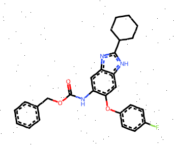 O=C(Nc1cc2nc(C3CCCCC3)[nH]c2cc1Oc1ccc(F)cc1)OCc1ccccc1